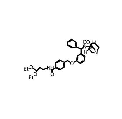 CCOC(CCNC(=O)c1ccc(COc2cccc(C(c3ccccc3)N(C(=O)O)[C@H]3CN4CCC3CC4)c2)cc1)OCC